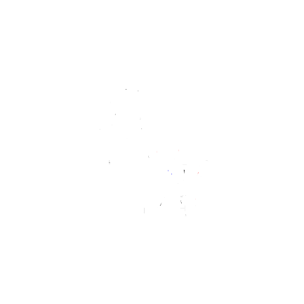 C[C@H]1CN(C(=O)OCC2c3ccccc3-c3ccccc32)[C@H]2[C@@H]1OC[C@@H]2O